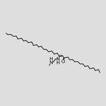 CCCCCCCCCCCCCCCCCCCCC/C(=C/C(=O)CCCCCCCCCCCCCC)NCCNC